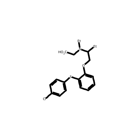 CCC(COc1ccccc1Sc1ccc(Cl)cc1)N(CC)CC(=O)O